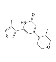 Cc1cscc1-c1cc(N2CCOCC2C)cc(=O)[nH]1